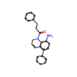 Nc1ccc(-c2ccccc2)c2c1N(C(=O)CCc1ccccc1)CC=C2